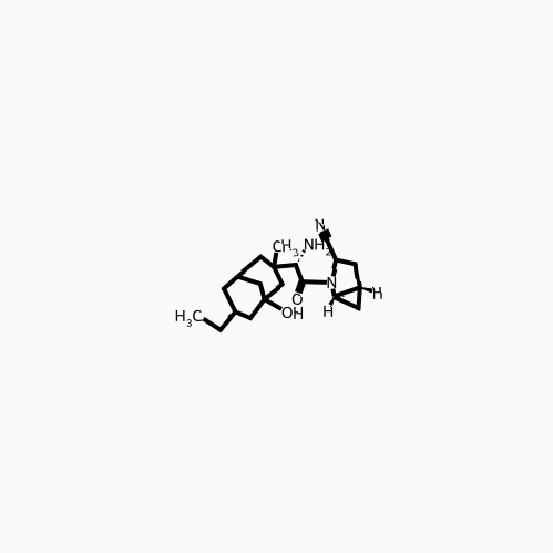 CCC1CC2CC(O)(C1)CC(C)([C@H](N)C(=O)N1C(C#N)C[C@@H]3C[C@@H]31)C2